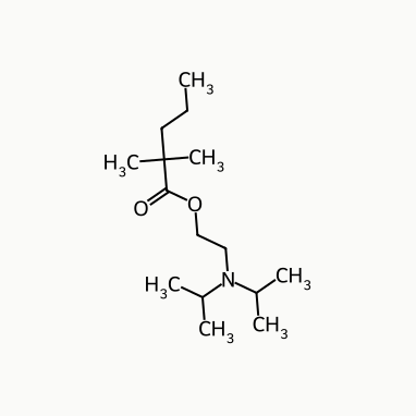 CCCC(C)(C)C(=O)OCCN(C(C)C)C(C)C